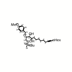 CCCCCCC#CCCCCCC[C@@H](O)[C@@H](O)[C@@H](CO[Si](C)(C)C(C)(C)C)OCc1ccc(OC)cc1